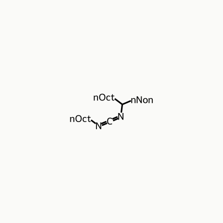 CCCCCCCCCC(CCCCCCCC)N=C=NCCCCCCCC